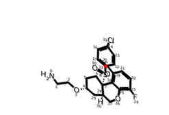 NCCO[C@@H]1CC[C@@]2(S(=O)(=O)c3ccc(Cl)cc3)c3c(F)ccc(F)c3OC[C@H]2C1